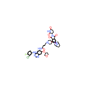 O=C(/C=C/CN1CCC(CN2CC3CCC(C2)N3c2ccc3c(c2)C(=O)N(C2CCC(=O)NC2=O)C3=O)CC1)Nc1cc2c(Nc3ccc(F)c(Cl)c3)ncnc2cc1O[C@H]1CCOC1